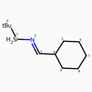 CC(C)(C)[SiH2]/N=C/C1CCCCC1